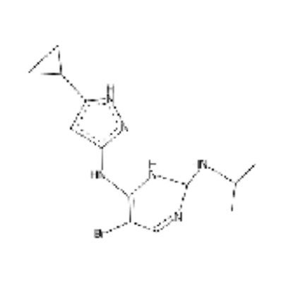 CC(C)NC1N=CC(Br)=C(Nc2cc(C3CC3)[nH]n2)N1